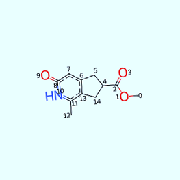 COC(=O)C1Cc2cc(=O)[nH]c(C)c2C1